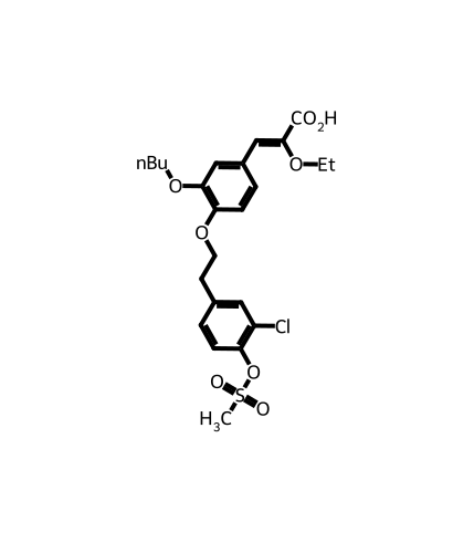 CCCCOc1cc(/C=C(\OCC)C(=O)O)ccc1OCCc1ccc(OS(C)(=O)=O)c(Cl)c1